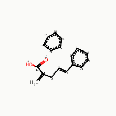 C=C(CC=Cc1ccccc1)C(=O)O.c1ccccc1